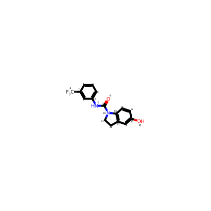 O=C(Nc1cccc(C(F)(F)F)c1)N1CCc2cc(O)ccc21